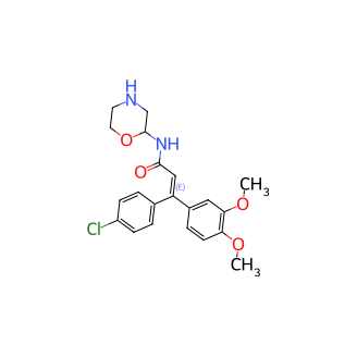 COc1ccc(/C(=C/C(=O)NC2CNCCO2)c2ccc(Cl)cc2)cc1OC